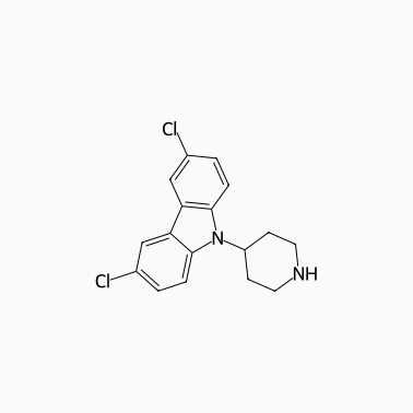 Clc1ccc2c(c1)c1cc(Cl)ccc1n2C1CCNCC1